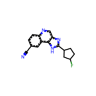 N#Cc1ccc2ncc3nc(C4CCC(F)C4)[nH]c3c2c1